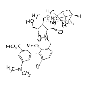 COc1c(CN2O[C@@H](CO)[C@@H]([C@H](C)O)[C@H]2C(=O)N[C@H]2C[C@H]3CC([C@@H]2C)C3(C)C)ccc(Cl)c1-c1cc(C(=O)O)cc(N(C)C)c1